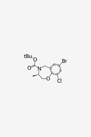 C[C@@H]1COc2c(Cl)cc(Br)cc2CN1C(=O)OC(C)(C)C